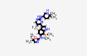 CP(C)c1c(NC2=NCC(C)(C)O2)ccc2c(-c3nc(NC4CCC(C)(C)NC4)ncc3C(F)(F)F)c[nH]c12